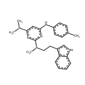 Cc1ccc(Nc2cc(N(C)C)nc(N(C)CCc3c[nH]c4ccccc34)n2)cc1